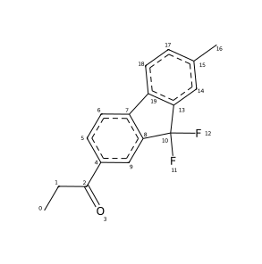 CCC(=O)c1ccc2c(c1)C(F)(F)c1cc(C)ccc1-2